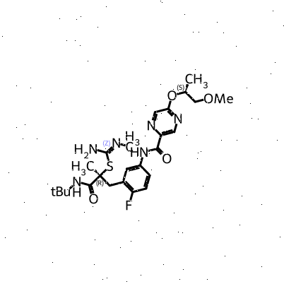 C/N=C(/N)S[C@](C)(Cc1cc(NC(=O)c2cnc(O[C@@H](C)COC)cn2)ccc1F)C(=O)NC(C)(C)C